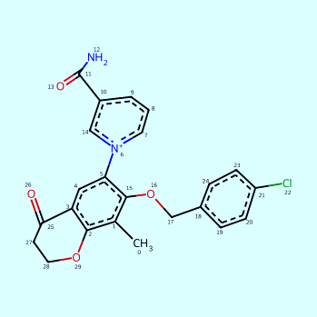 Cc1c2c(cc(-[n+]3cccc(C(N)=O)c3)c1OCc1ccc(Cl)cc1)C(=O)CCO2